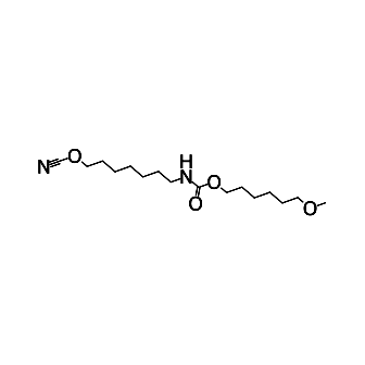 COCCCCCCOC(=O)NCCCCCCCOC#N